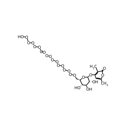 Cc1cc(O[C@@H]2O[C@H](COOOOOOOOOOOOOOOOOO)[C@@H](O)[C@H](O)[C@H]2O)c(C)c(=O)o1